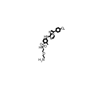 COc1ccc(-c2cnc3c(Nc4ccc(S(=O)(=O)NCCOCCN)c(C)c4)nccn23)cc1